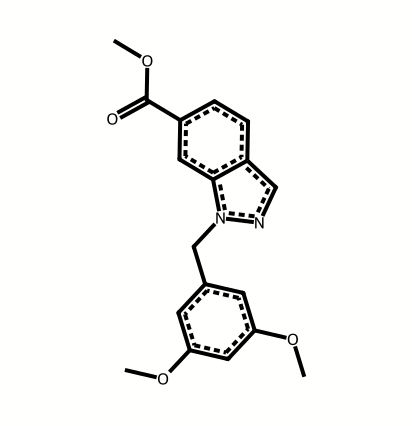 COC(=O)c1ccc2cnn(Cc3cc(OC)cc(OC)c3)c2c1